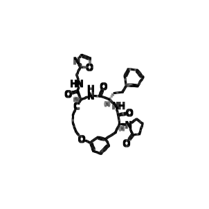 O=C(NCc1ncco1)[C@@H]1CCCCOc2cccc(c2)C[C@H](N2CCCC2=O)C(=O)N[C@@H](CCc2ccccc2)C(=O)N1